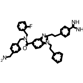 N=C(N)c1ccc(CCc2nc3cc(C(=O)N(Cc4ccc(CN)cc4)Cc4ccccc4F)ccc3n2CCc2ccccc2)cc1